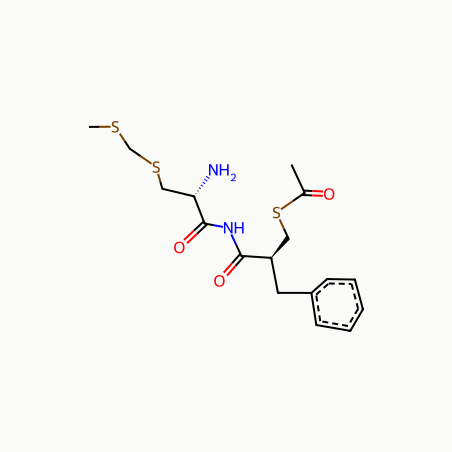 CSCSC[C@H](N)C(=O)NC(=O)[C@@H](CSC(C)=O)Cc1ccccc1